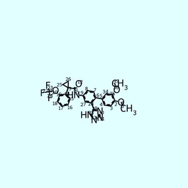 COc1ccc(-c2ccc(NC(=O)C3(c4ccccc4OC(F)(F)F)CC3)cc2-c2nnn[nH]2)cc1OC